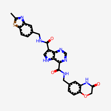 Cc1nc2cc(CNC(=O)c3c[nH]c4c(C(=O)NCc5ccc6c(c5)NC(=O)CO6)ncnc34)ccc2s1